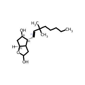 CCCCCC(C)(C)/C=C/[C@@H]1C2CC(O)O[C@H]2C[C@H]1O